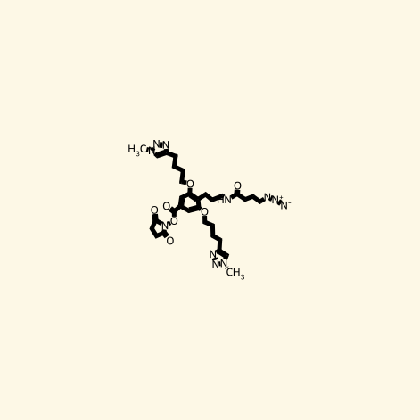 Cn1cc(CCCCOc2cc(C(=O)ON3C(=O)CCC3=O)cc(OCCCCc3cn(C)nn3)c2CCCNC(=O)CCCN=[N+]=[N-])nn1